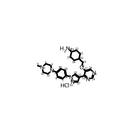 CN1CCN(c2ccc(-n3cc(-c4ncncc4OCC4CCC(N)CC4)cn3)cc2)CC1.Cl